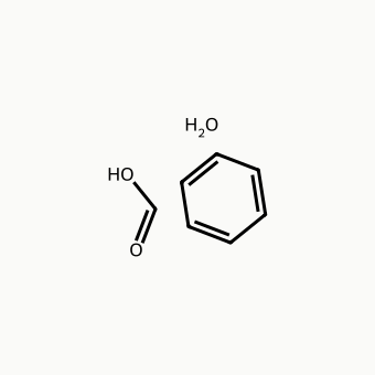 O.O=CO.c1ccccc1